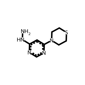 NNc1cc(N2CCSCC2)ncn1